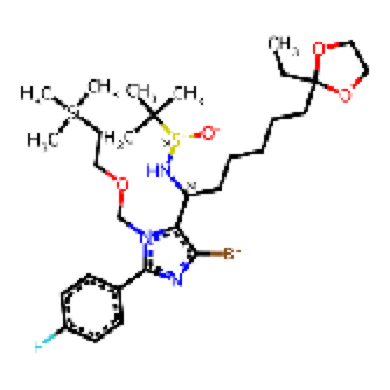 CCC1(CCCCC[C@H](N[S@+]([O-])C(C)(C)C)c2c(Br)nc(-c3ccc(F)cc3)n2COCC[Si](C)(C)C)OCCO1